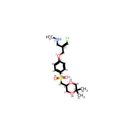 CNC/C(=C\F)COc1ccc(S(=O)(=O)CC2COC(C)(C)CO2)cc1